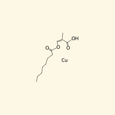 CCCCCCCC(=O)OC=C(C)C(=O)O.[Cu]